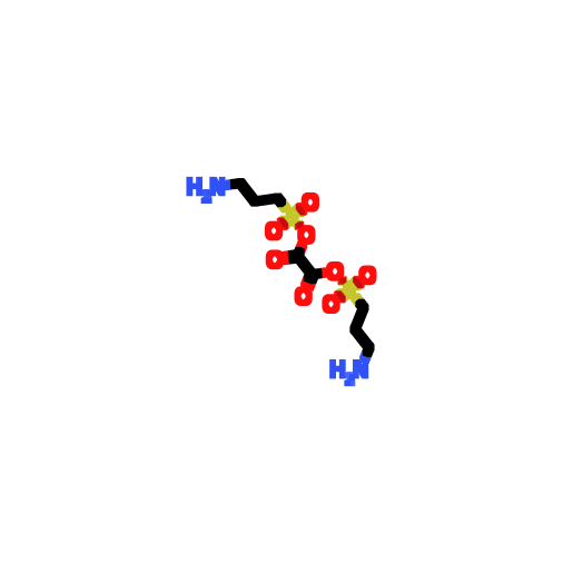 NCCCS(=O)(=O)OC(=O)C(=O)OS(=O)(=O)CCCN